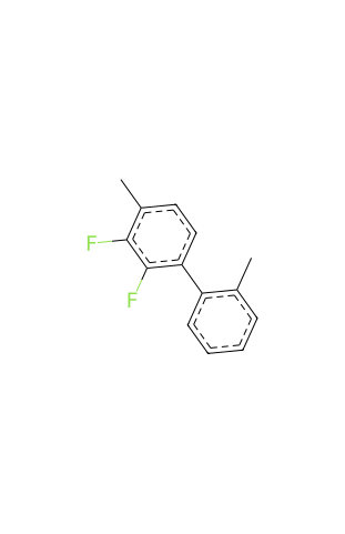 Cc1ccccc1-c1ccc(C)c(F)c1F